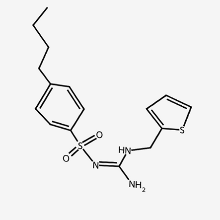 CCCCc1ccc(S(=O)(=O)N=C(N)NCc2cccs2)cc1